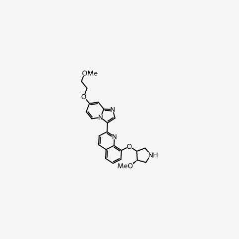 COCCOc1ccn2c(-c3ccc4cccc(OC5CNC[C@H]5OC)c4n3)cnc2c1